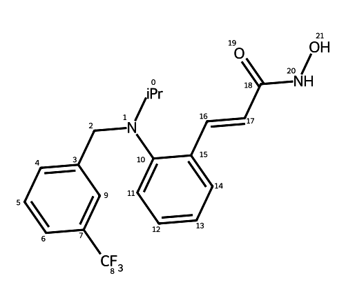 CC(C)N(Cc1cccc(C(F)(F)F)c1)c1ccccc1/C=C/C(=O)NO